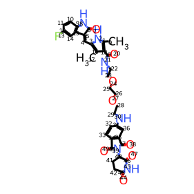 Cc1[nH]c(/C=C2\C(=O)Nc3ccc(F)cc32)c(C)c1C(=O)NCCOCCOCCNc1ccc2c(c1)C(=O)N(C1CCC(=O)NC1=O)C2=O